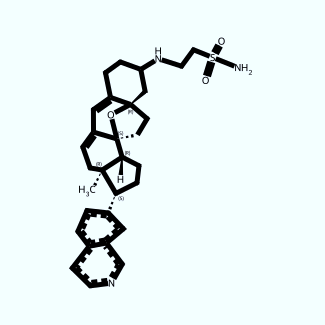 C[C@]12CC=C3C=C4CCC(NCCS(N)(=O)=O)C[C@]45CC[C@]3(O5)[C@@H]1CC[C@@H]2c1ccc2ccncc2c1